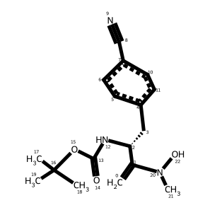 C=C([C@@H](Cc1ccc(C#N)cc1)NC(=O)OC(C)(C)C)N(C)O